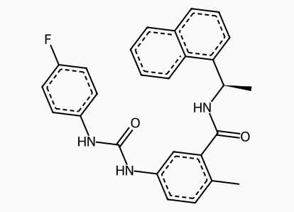 Cc1ccc(NC(=O)Nc2ccc(F)cc2)cc1C(=O)N[C@H](C)c1cccc2ccccc12